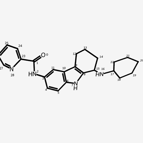 O=C(Nc1ccc2[nH]c3c(c2c1)CCCC3NC1CCCCC1)c1ccccn1